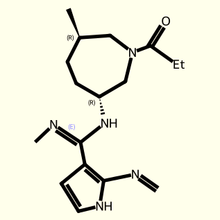 C=Nc1[nH]ccc1/C(=N\C)N[C@@H]1CC[C@@H](C)CN(C(=O)CC)C1